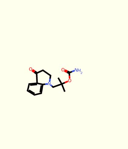 CC(C)(CN1CCC(=O)c2ccccc21)OC(N)=O